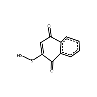 O=C1C=C(SS)C(=O)c2ccccc21